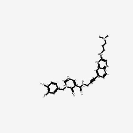 CN(C)CCCNc1cnc2ccc(C#CCNC(=O)c3cncn(Cc4ccc(F)c(F)c4)c3=O)cc2n1